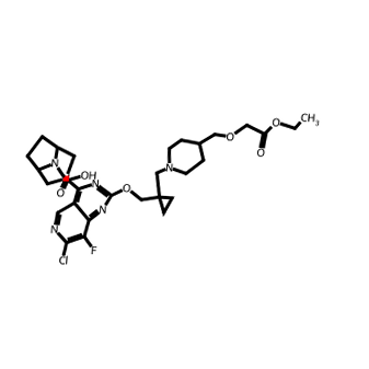 CCOC(=O)COCC1CCN(CC2(COc3nc(N4CC5CCC(C4)N5C(=O)O)c4cnc(Cl)c(F)c4n3)CC2)CC1